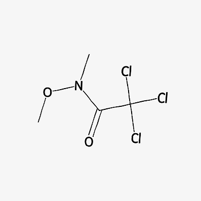 CON(C)C(=O)C(Cl)(Cl)Cl